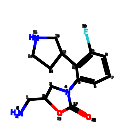 NCC1CN(c2cccc(F)c2C2CCNC2)C(=O)O1